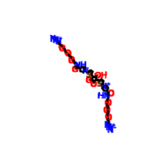 [N-]=[N+]=NCCOCCOCCOCCNC(=O)C1CCN(c2ccc(C3=C(O)/C(=C4\C=CC(=[N+]5CCC(C(=O)NCCOCCOCCOCCN=[N+]=[N-])CC5)S4)C(=O)C3=O)s2)CC1